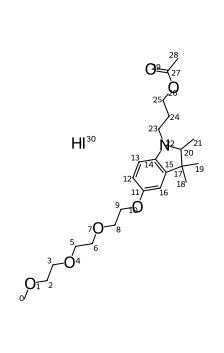 COCCOCCOCCOc1ccc2c(c1)C(C)(C)C(C)N2CCCOC(C)=O.I